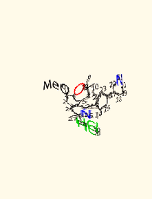 COc1cc2c(c3c1OC(C)(C)C3)C(c1ccc(-c3cccnc3)cc1)=NC(C)(C)C2.Cl.Cl